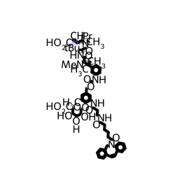 CN[C@@H](C(=O)N[C@H](C(=O)N(C)[C@H](/C=C(\C)C(=O)O)C(C)C)C(C)(C)C)C(C)(C)c1cccc(NC(=O)OCc2cc(C)c(OC3OC(C(=O)O)C(O)C(O)C3O)c(NC(=O)CCNC(=O)CCCCC(=O)N3Cc4ccccc4C#Cc4ccccc43)c2)c1